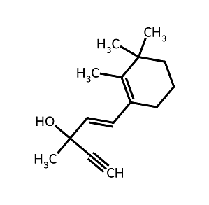 C#CC(C)(O)C=CC1=C(C)C(C)(C)CCC1